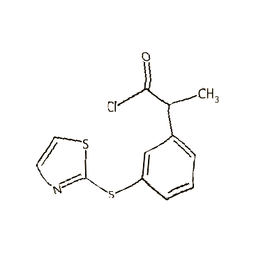 CC(C(=O)Cl)c1cccc(Sc2nccs2)c1